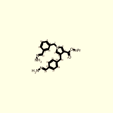 CCCOC(=O)c1cn(Cc2cccc(C=NN)c2)cc1Cc1ccc(C=NN)cc1